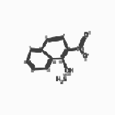 O=[N+]([O-])c1ccc2ccccc2c1O.S